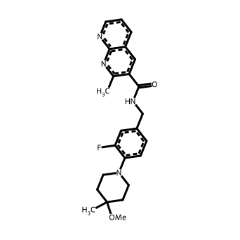 COC1(C)CCN(c2ccc(CNC(=O)c3cc4cccnc4nc3C)cc2F)CC1